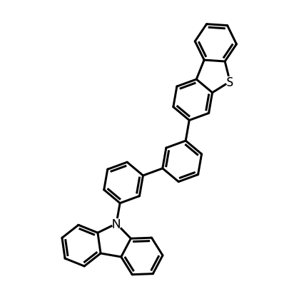 c1cc(-c2cccc(-n3c4ccccc4c4ccccc43)c2)cc(-c2ccc3c(c2)sc2ccccc23)c1